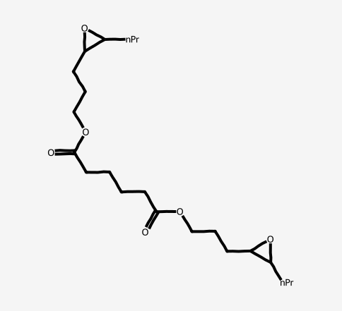 CCCC1OC1CCCOC(=O)CCCCC(=O)OCCCC1OC1CCC